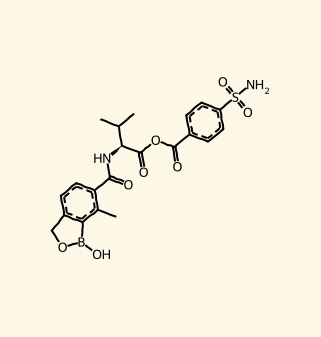 Cc1c(C(=O)N[C@H](C(=O)OC(=O)c2ccc(S(N)(=O)=O)cc2)C(C)C)ccc2c1B(O)OC2